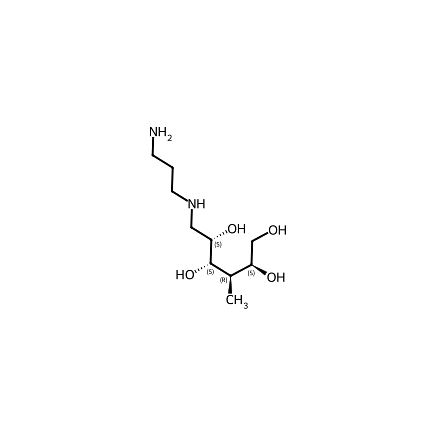 C[C@@H]([C@H](O)[C@@H](O)CNCCCN)[C@H](O)CO